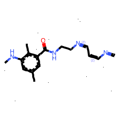 C=N/C=C\C=N/CCNC(=O)c1cc(C)cc(NC)c1C